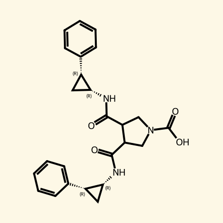 O=C(N[C@@H]1C[C@@H]1c1ccccc1)C1CN(C(=O)O)CC1C(=O)N[C@@H]1C[C@@H]1c1ccccc1